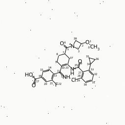 COC1CN(C(=O)C2CCC(C(=N)c3ccc(C(=O)O)cc3F)=C(NC(=O)c3c(Cl)cccc3C3CC3)C2)C1